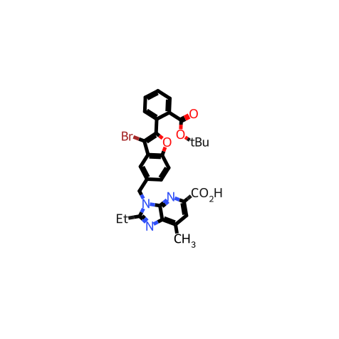 CCc1nc2c(C)cc(C(=O)O)nc2n1Cc1ccc2oc(-c3ccccc3C(=O)OC(C)(C)C)c(Br)c2c1